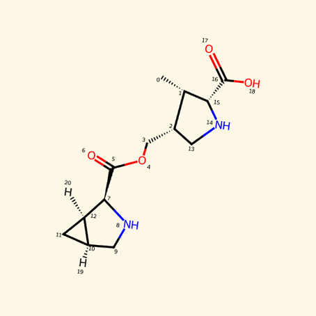 C[C@H]1[C@@H](COC(=O)[C@H]2NC[C@H]3C[C@H]32)CN[C@H]1C(=O)O